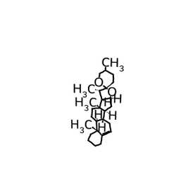 CC1CC[C@@]2(OC1)O[C@H]1C[C@H]3[C@@H]4CC=C5CCCC[C@]5(C)[C@H]4CC[C@]3(C)[C@H]1[C@@H]2C